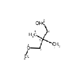 CCOCC(C)(C)[CH]C=O